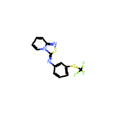 FC(F)(F)Sc1cccc(/N=c2\snc3ccccn23)c1